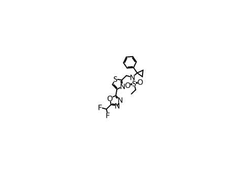 CCS(=O)(=O)N(Cc1nc(-c2nnc(C(F)F)o2)cs1)C1(c2ccccc2)CC1